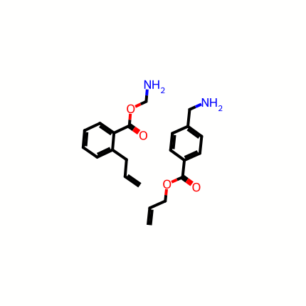 C=CCOC(=O)c1ccc(CN)cc1.C=CCc1ccccc1C(=O)OCN